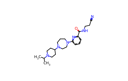 CC(C)N1CCC(N2CCCN(c3cccc(C(=O)NCCC#N)n3)CC2)CC1